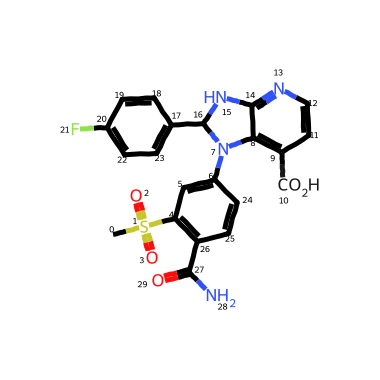 CS(=O)(=O)c1cc(N2c3c(C(=O)O)ccnc3NC2c2ccc(F)cc2)ccc1C(N)=O